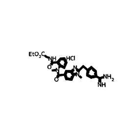 CCOC(=O)CNC(=O)c1ccccc1N(C)C(=O)c1ccc2c(c1)nc(Cc1ccc(C(=N)N)cc1)n2C.Cl